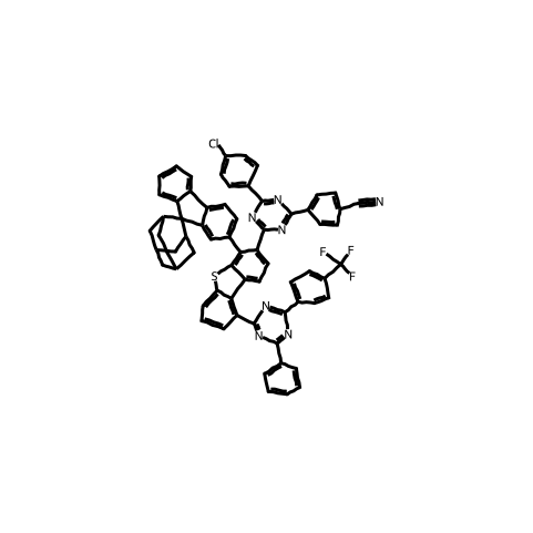 N#Cc1ccc(-c2nc(-c3ccc(Cl)cc3)nc(-c3ccc4c(sc5cccc(-c6nc(-c7ccccc7)nc(-c7ccc(C(F)(F)F)cc7)n6)c54)c3-c3ccc4c(c3)C3(c5ccccc5-4)C4CC5CC(C4)CC3C5)n2)cc1